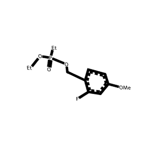 CCOP(=O)(CC)OCc1ccc(OC)cc1F